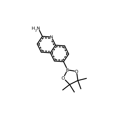 CC1(C)OB(c2ccc3nc(N)ccc3c2)OC1(C)C